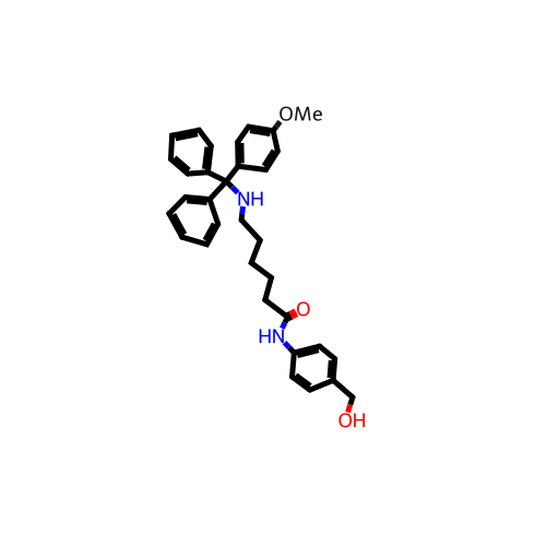 COc1ccc(C(NCCCCCC(=O)Nc2ccc(CO)cc2)(c2ccccc2)c2ccccc2)cc1